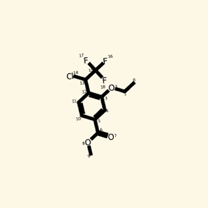 CCOc1cc(C(=O)OC)ccc1C(Cl)C(F)(F)F